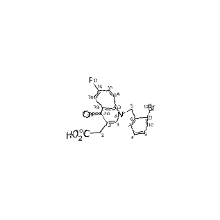 O=C(O)Cc1cn(Cc2ccccc2Br)c2ccc(F)cc2c1=O